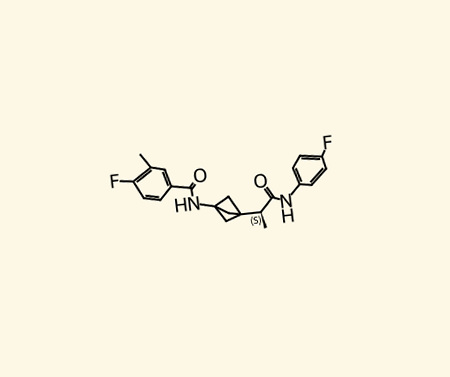 Cc1cc(C(=O)NC23CC([C@H](C)C(=O)Nc4ccc(F)cc4)(C2)C3)ccc1F